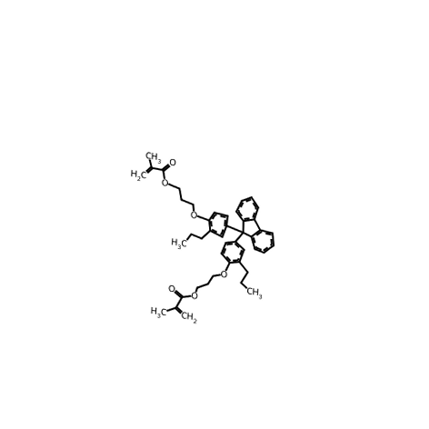 C=C(C)C(=O)OCCCOc1ccc(C2(c3ccc(OCCCOC(=O)C(=C)C)c(CCC)c3)c3ccccc3-c3ccccc32)cc1CCC